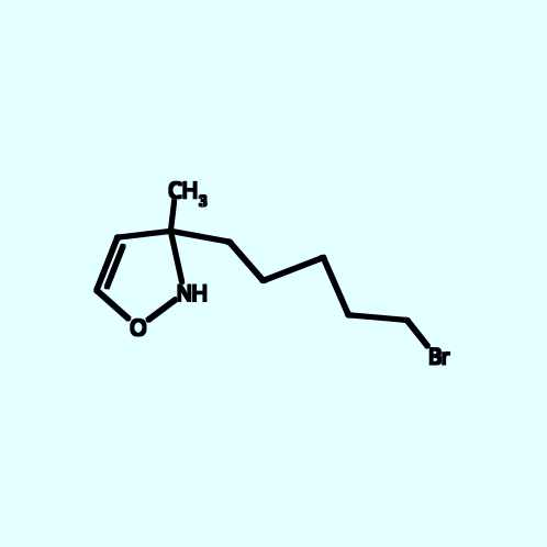 CC1(CCCCCBr)C=CON1